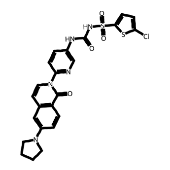 O=C(Nc1ccc(-n2ccc3cc(N4CCCC4)ccc3c2=O)nc1)NS(=O)(=O)c1ccc(Cl)s1